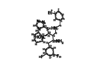 CCc1cccc(CNCC(C(N)Cc2cc(F)cc(F)c2)[C@H](Sc2nncn2-c2ccccc2)C(=O)O)c1